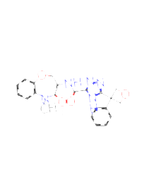 CN1C(=O)[C@@H](NC(=O)c2nnc(C3(c4ccccc4)COC3)[nH]2)COc2ccccc21